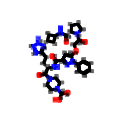 O=C(N[C@@H](CCc1nn[nH]n1)C(=O)N1CCN(C(=O)O)CC1)c1cc(OCC(=O)N2CCC[C@H]2C(=O)NC2CCC2)n(-c2ccccc2)n1